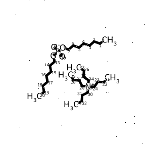 CCCCCCCCOP(=O)([O-])OCCCCCCCC.CCCC[N+](CCCC)(CCCC)CCCC